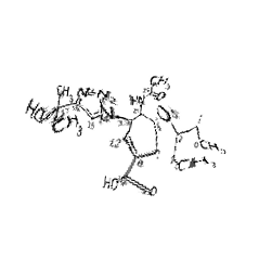 CCC(CC)O[C@@H]1CC(C(=O)O)=C[C@@H](n2cc(C(C)(C)O)nn2)[C@H]1NC(C)=O